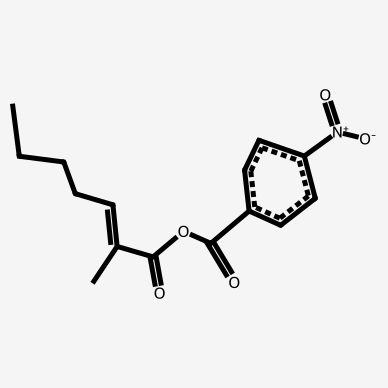 CCCCC=C(C)C(=O)OC(=O)c1ccc([N+](=O)[O-])cc1